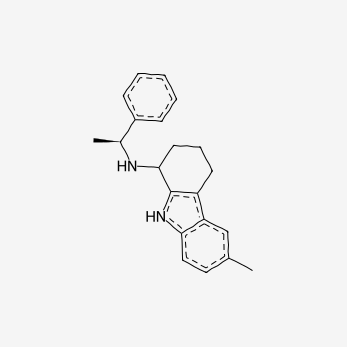 Cc1ccc2[nH]c3c(c2c1)CCCC3N[C@@H](C)c1ccccc1